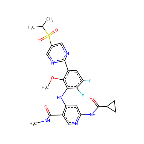 CNC(=O)c1cnc(NC(=O)C2CC2)cc1Nc1c(F)c(F)cc(-c2ncc(S(=O)(=O)C(C)C)cn2)c1OC